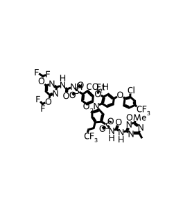 CCOc1cc(Oc2ccc(C(F)(F)F)cc2Cl)ccc1[N+](=O)[O-].COc1nc(C)nc(NC(=O)NS(=O)(=O)c2ccccc2CCC(F)(F)F)n1.O=C(Nc1nc(OC(F)F)cc(OC(F)F)n1)NS(=O)(=O)c1ccccc1C(=O)O